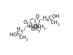 CC1(C)C=C(/C=C\C2=CC(C)(C)C=C(CCCCC(C)(C)CO)C2=O)C(=O)C(CCCCC(C)(C)CO)=C1